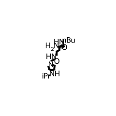 CCCCNC(=O)[C@H](N)CCCNC(=O)CN1CCC(NC(C)C)CC1